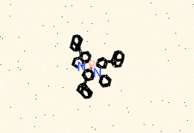 c1ccc(N2c3cc(C4C5CC6CC(C5)CC4C6)ccc3B3c4ccc(C5C6CC7CC(C6)CC5C7)c5c4N(CCC5)c4cc(C5C6CC7CC(C6)CC5C7)cc2c43)cc1